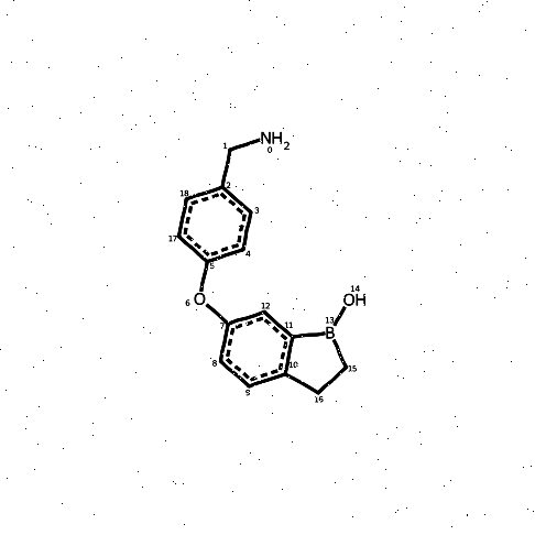 NCc1ccc(Oc2ccc3c(c2)B(O)CC3)cc1